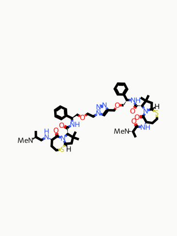 CN[C@@H](C)C(=O)N[C@H]1CCS[C@H]2CC(C)(C)[C@@H](C(=O)N[C@H](COCc3cn(CCOC[C@@H](NC(=O)[C@H]4N5C(=O)[C@@H](NC[C@H](C)NC)CCS[C@H]5CC4(C)C)c4ccccc4)nn3)c3ccccc3)N2C1=O